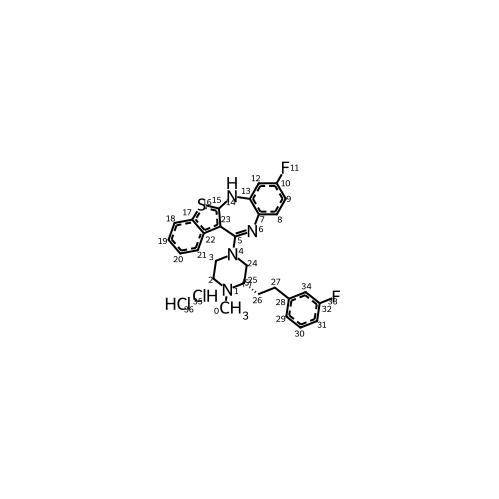 CN1CCN(C2=Nc3ccc(F)cc3Nc3sc4ccccc4c32)C[C@@H]1CCc1cccc(F)c1.Cl.Cl